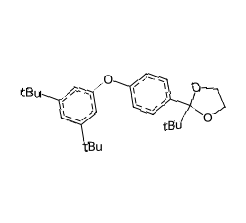 CC(C)(C)c1cc(Oc2ccc(C3(C(C)(C)C)OCCO3)cc2)cc(C(C)(C)C)c1